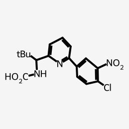 CC(C)(C)C(NC(=O)O)c1cccc(-c2ccc(Cl)c([N+](=O)[O-])c2)n1